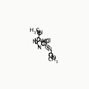 Cl.Cl.Cn1cc(-c2cc(-c3ccc(N4CCN(Cc5ccn(C)c(=O)c5)CC4)nc3)c3c(C#N)cnn3c2)cn1